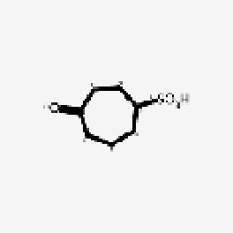 O=C1CCCC(S(=O)(=O)O)CC1